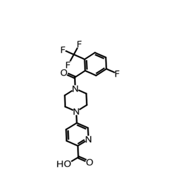 O=C(O)c1ccc(N2CCN(C(=O)c3cc(F)ccc3C(F)(F)F)CC2)cn1